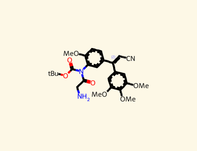 COc1ccc(/C(=C/C#N)c2cc(OC)c(OC)c(OC)c2)cc1N(C(=O)CN)C(=O)OC(C)(C)C